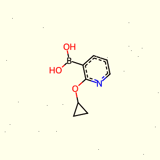 OB(O)c1cccnc1OC1CC1